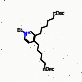 CCCCCCCCCCCCCCCc1cc[n+](CC)cc1CCCCCCCCCCCCCCC